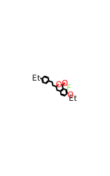 CCOc1ccc2c(c1F)C(=O)OC(CCc1ccc(CC)cc1)C2